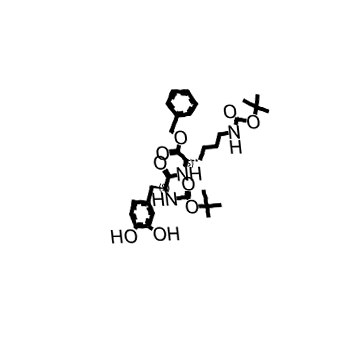 CC(C)(C)OC(=O)NCCCC[C@H](NC(=O)[C@H](Cc1ccc(O)c(O)c1)NC(=O)OC(C)(C)C)C(=O)OCc1ccccc1